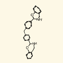 c1ccc2c(c1)CNC(c1ccc(Cc3ccc(C4NCc5ccccc5O4)cc3)cc1)O2